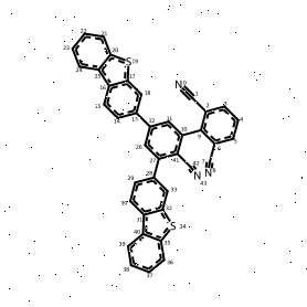 N#Cc1cccc(C#N)c1-c1cc(-c2ccc3c(c2)sc2ccccc23)cc(-c2ccc3c(c2)sc2ccccc23)c1C#N